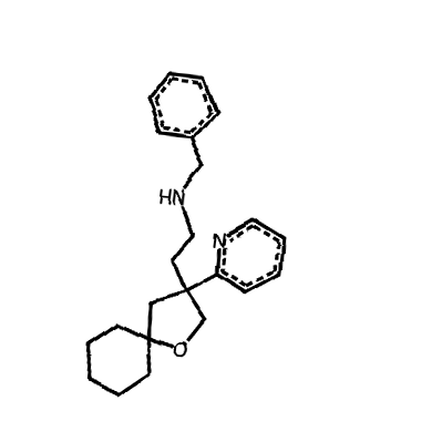 c1ccc(CNCCC2(c3ccccn3)COC3(CCCCC3)C2)cc1